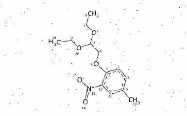 CCOC(COc1ccc(C)cc1[N+](=O)[O-])OCC